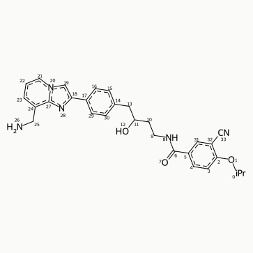 CC(C)Oc1ccc(C(=O)NCCC(O)Cc2ccc(-c3cn4cccc(CN)c4n3)cc2)cc1C#N